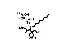 COC(C)C(OCCCCCCCC(C)C)C(CO)(CO)CO.OP(O)O.OP(O)O